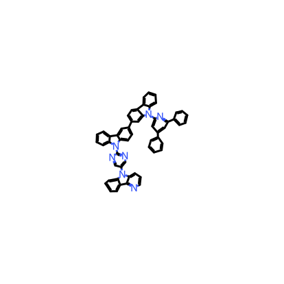 c1ccc(-c2cc(-c3ccccc3)nc(-n3c4ccccc4c4ccc(-c5ccc6c(c5)c5ccccc5n6-c5ncc(-n6c7ccccc7c7ncccc76)cn5)cc43)c2)cc1